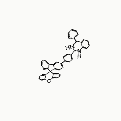 c1ccc(C2NC(c3ccc(-c4ccc5c(c4)-c4ccccc4C54c5ccccc5Oc5ccccc54)cc3)Nc3ccccc32)cc1